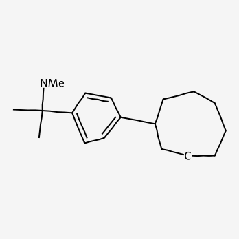 CNC(C)(C)c1ccc(C2CCCCCCC2)cc1